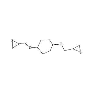 C1CC(OCC2CS2)CCC1OCC1CS1